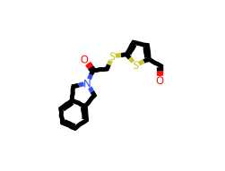 O=Cc1ccc(SCC(=O)N2Cc3ccccc3C2)s1